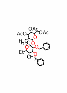 CCC1O[C@](C)(O[C@H]2OC(COC(C)=O)[C@@H](OC(C)=O)C(OC(C)=O)C2C)C(OCc2ccccc2)[C@@H](OCc2ccccc2)[C@H]1C